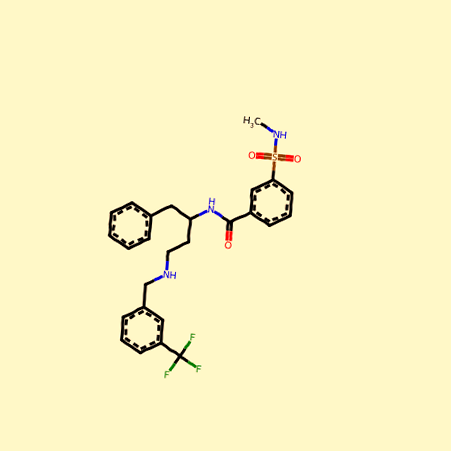 CNS(=O)(=O)c1cccc(C(=O)NC(CCNCc2cccc(C(F)(F)F)c2)Cc2ccccc2)c1